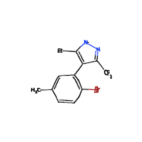 CCC1=C(c2cc(C)ccc2Br)C(C(F)(F)F)=N[N]1